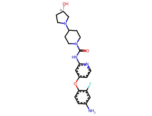 Nc1ccc(Oc2ccnc(NC(=O)N3CCC(N4CC[C@H](O)C4)CC3)c2)c(F)c1